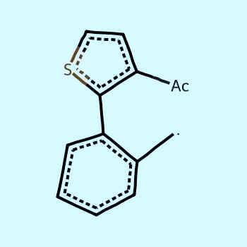 [CH2]c1ccccc1-c1sccc1C(C)=O